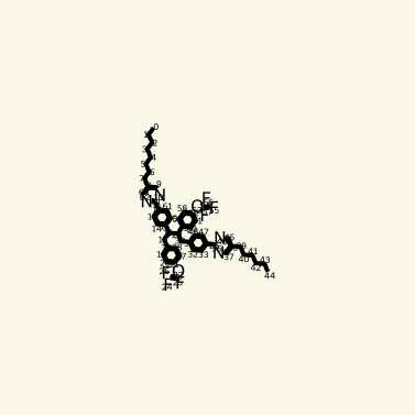 CCCCCCCCc1cnc(-c2ccc(C(Cc3ccc(OC(F)(F)F)cc3)C(Cc3ccc(-c4ncc(CCCCCC)cn4)cc3)c3ccc(OC(F)(F)F)cc3)cc2)nc1